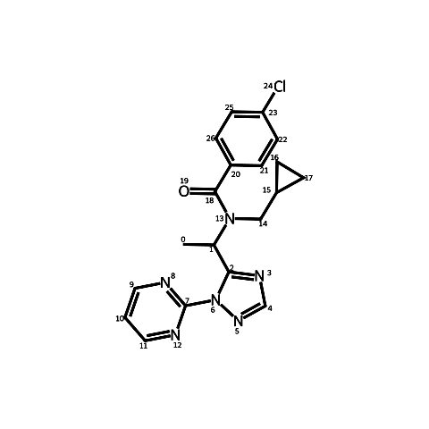 CC(c1ncnn1-c1ncccn1)N(CC1CC1)C(=O)c1ccc(Cl)cc1